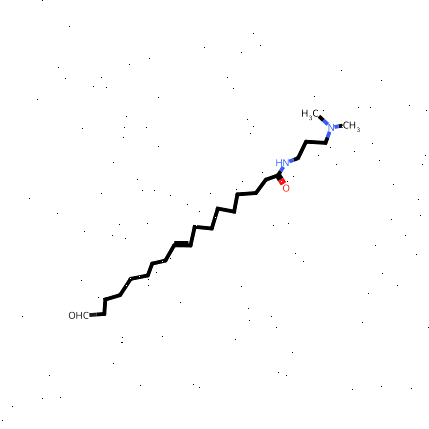 CN(C)CCCNC(=O)CCCCCCC/C=C/CCCCCCCC=O